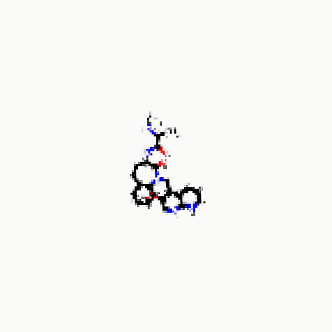 CNC(C)C(=O)N[C@H]1CCc2ccccc2N(Cc2c(OC)cnc3ncccc23)C1=O